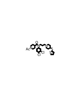 CC(=O)N1CCC(C(=O)N(CCCN2CCC(Sc3cccs3)CC2)c2ccc(Cl)c(Cl)c2)CC1